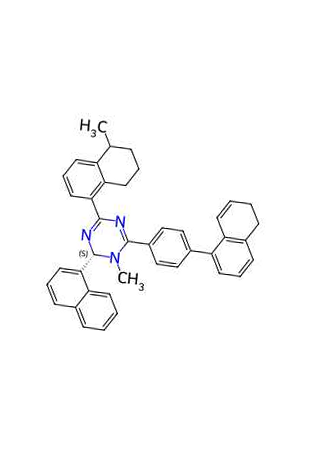 CC1CCCc2c(C3=N[C@@H](c4cccc5ccccc45)N(C)C(c4ccc(-c5cccc6c5C=CCC6)cc4)=N3)cccc21